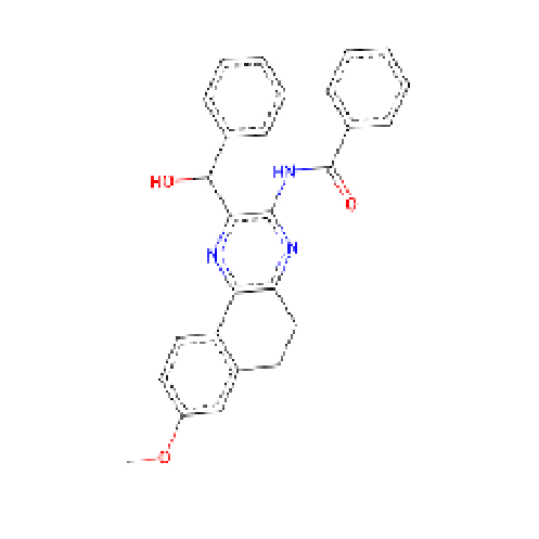 COc1ccc2c(c1)CCc1nc(NC(=O)c3ccccc3)c(C(O)c3ccccc3)nc1-2